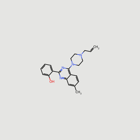 C=CCN1CCN(c2nc(-c3ccccc3O)nc3cc(C)ccc23)CC1